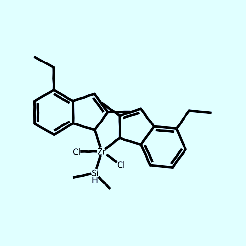 CCc1cccc2c1C=C(C)[CH]2[Zr]([Cl])([Cl])([CH]1C(C)=Cc2c(CC)cccc21)[SiH](C)C